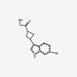 CC(C)(C)OC(=O)N1CC(c2c[nH]c3cc(Br)ccc23)C1